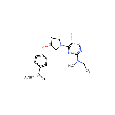 CC(=O)N[C@@H](C)c1ccc(O[C@@H]2CCN(c3nc(N(C)CC(F)(F)F)ncc3F)C2)cc1